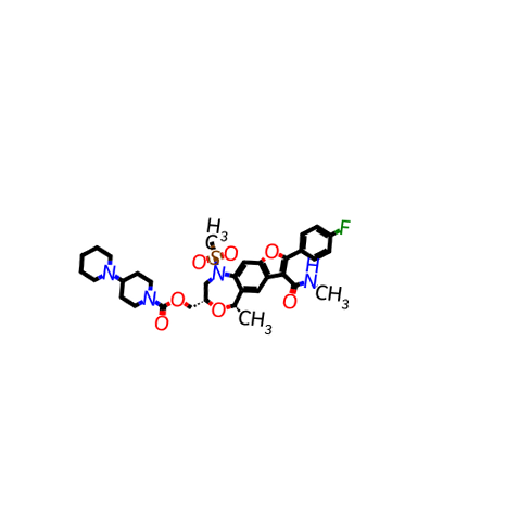 CNC(=O)c1c(-c2ccc(F)cc2)oc2cc3c(cc12)[C@H](C)O[C@H](COC(=O)N1CCC(N2CCCCC2)CC1)CN3S(C)(=O)=O